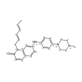 CC=CC=CCn1c(=O)ncc2cnc(Nc3ccc(N4CCN(C)CC4)cc3)cc21